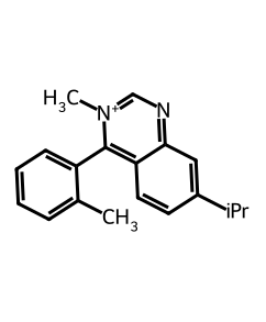 Cc1ccccc1-c1c2ccc(C(C)C)cc2nc[n+]1C